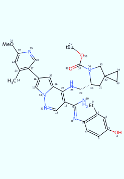 CCc1cc(O)ccc1/N=C(\N)c1cnn2cc(-c3cnc(OC)cc3C)cc2c1NC[C@H]1CC2(CC2)CN1C(=O)OC(C)(C)C